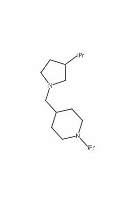 CC(C)C1CCN(CC2CCN(C(C)C)CC2)C1